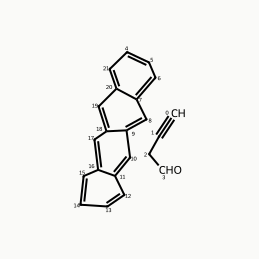 C#CCC=O.c1ccc2cc3cc4ccccc4cc3cc2c1